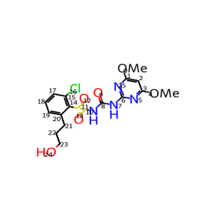 COc1cc(OC)nc(NC(=O)NS(=O)(=O)c2c(Cl)cccc2CCCO)n1